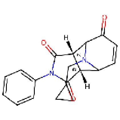 O=C1C=CC2[C@@H]3C(=O)N(c4ccccc4)C(=O)[C@@H]3C1N2CC1CC1